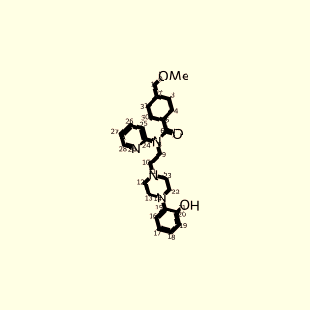 COCC1CCC(C(=O)N(CCN2CCN(c3ccccc3O)CC2)c2ccccn2)CC1